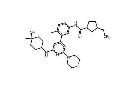 Cc1ccc(NC(=O)N2CC[C@@H](CC(F)(F)F)C2)cc1-c1cc(NC2CCC(C)(O)CC2)nc(N2CCOCC2)c1